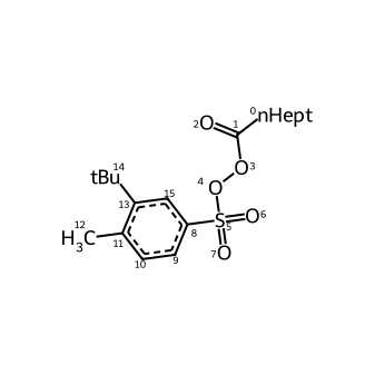 CCCCCCCC(=O)OOS(=O)(=O)c1ccc(C)c(C(C)(C)C)c1